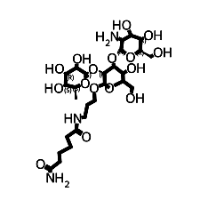 C[C@@H]1O[C@@H](O[C@H]2C(OCCCNC(=O)CCCCC(N)=O)OC(CO)C(O)C2O[C@H]2O[C@H](CO)[C@H](O)C(O)C2N)C(O)[C@H](O)[C@@H]1O